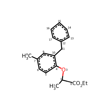 CCOC(=O)C(C)Oc1ccc(C)cc1Cc1ccccc1